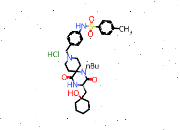 CCCCN1C(=O)[C@@H](CC2(O)CCCCC2)NC(=O)C12CCN(Cc1ccc(NS(=O)(=O)c3ccc(C)cc3)cc1)CC2.Cl